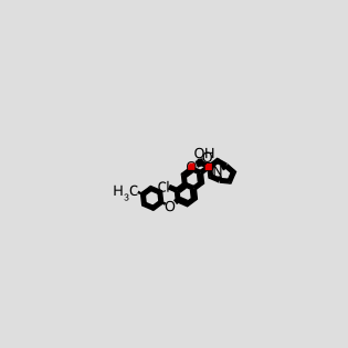 C[C@H]1CC[C@@H](Oc2ccc3cc(C(=O)N4C5CCC4CC(C(=O)O)C5)ccc3c2Cl)CC1